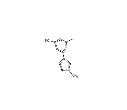 Cn1cc(-c2cc(I)cc(C#N)c2)cn1